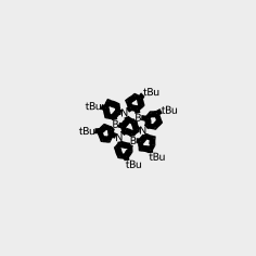 CC(C)(C)c1ccc2c(c1)B1c3cc(C(C)(C)C)ccc3N3c4ccc(C(C)(C)C)cc4B4c5cc(C(C)(C)C)ccc5N5c6ccc(C(C)(C)C)cc6B6c7cc(C(C)(C)C)ccc7N2c2c1c3c4c5c26